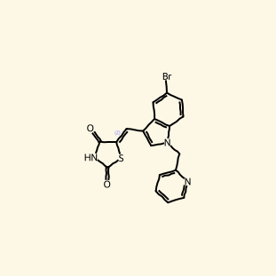 O=C1NC(=O)/C(=C/c2cn(Cc3ccccn3)c3ccc(Br)cc23)S1